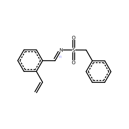 C=Cc1ccccc1/C=N/S(=O)(=O)Cc1ccccc1